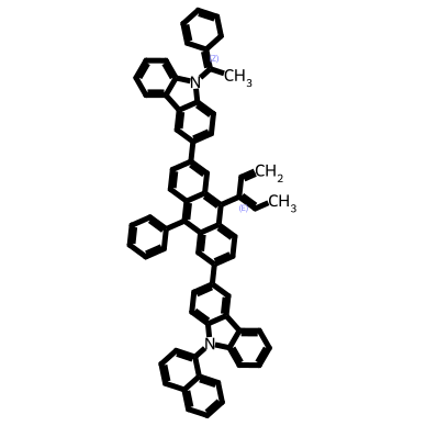 C=C/C(=C\C)c1c2cc(-c3ccc4c(c3)c3ccccc3n4/C(C)=C3\C=CC=CC3)ccc2c(-c2ccccc2)c2cc(-c3ccc4c(c3)c3ccccc3n4-c3cccc4ccccc34)ccc12